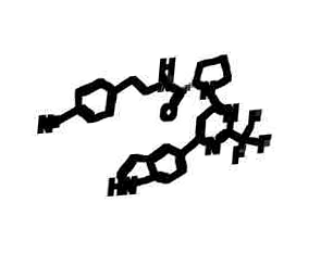 N#Cc1ccc(CCNC(=O)[C@@H]2CCCN2c2cc(-c3ccc4[nH]ccc4c3)nc(C(F)(F)F)n2)cc1